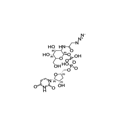 [N-]=[N+]=NCC(=O)NC1[C@@H](OP(=O)(O)OP(=O)(O)OC[C@@H]2C[C@H](O)[C@H](n3ccc(=O)[nH]c3=O)O2)OC(CO)[C@H](O)[C@@H]1O